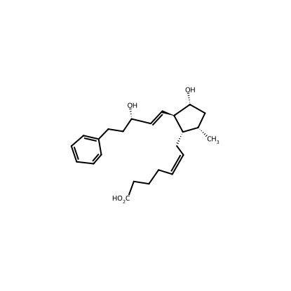 C[C@H]1C[C@@H](O)[C@H](/C=C/[C@@H](O)CCc2ccccc2)[C@H]1C/C=C\CCCC(=O)O